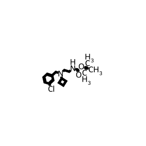 CC(C)(C)OC(=O)NCCN(Cc1cccc(Cl)c1)C1CCC1